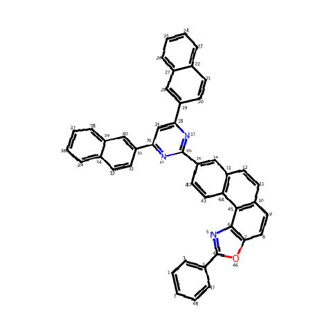 c1ccc(-c2nc3c(ccc4ccc5cc(-c6nc(-c7ccc8ccccc8c7)cc(-c7ccc8ccccc8c7)n6)ccc5c43)o2)cc1